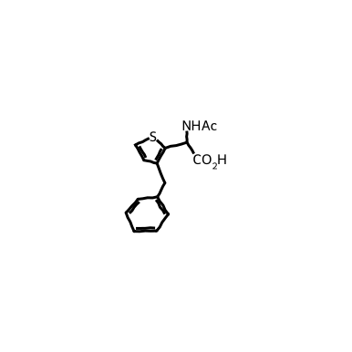 CC(=O)NC(C(=O)O)c1sccc1Cc1ccccc1